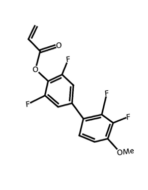 C=CC(=O)Oc1c(F)cc(-c2ccc(OC)c(F)c2F)cc1F